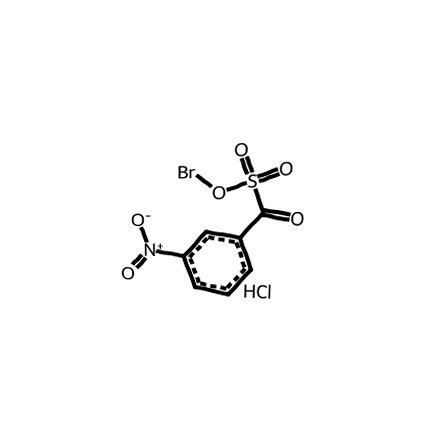 Cl.O=C(c1cccc([N+](=O)[O-])c1)S(=O)(=O)OBr